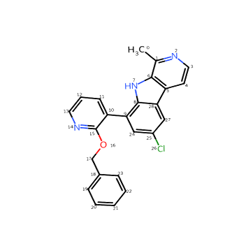 Cc1nccc2c1[nH]c1c(-c3cccnc3OCc3ccccc3)cc(Cl)cc12